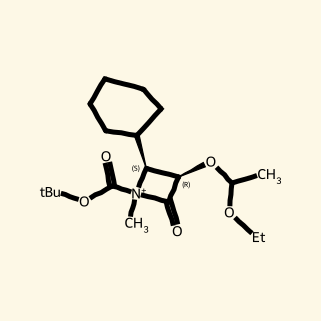 CCOC(C)O[C@H]1C(=O)[N+](C)(C(=O)OC(C)(C)C)[C@H]1C1CCCCC1